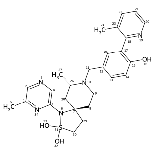 Cc1cncc(N2[C@@]3(CCN(Cc4ccc(O)c(-c5ncccc5C)c4)[C@@H](C)C3)CCS2(O)O)n1